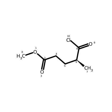 COC(=O)CC[C@H](C)C(=O)Cl